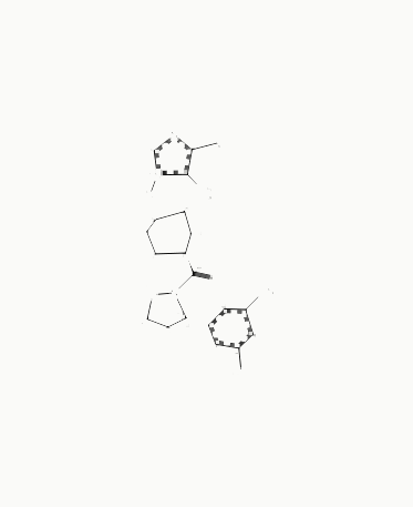 Cc1ncn(C[C@H]2CC[C@H](C(=O)N3OCC[C@H]3c3cc(F)cc(C#N)c3)CC2)c1C#N